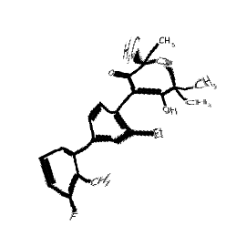 CCc1cc(-c2cccc(F)c2C)ccc1C1=C(O)C(C)(C)OC(C)(C)C1=O